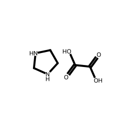 C1CNCN1.O=C(O)C(=O)O